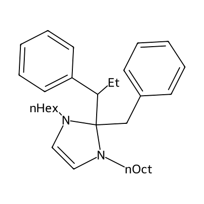 CCCCCCCCN1C=CN(CCCCCC)C1(Cc1ccccc1)C(CC)c1ccccc1